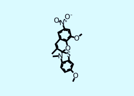 COc1ccc2c(c1)SC1(Oc3c(cc([N+](=O)[O-])cc3OC)C=C1C)N2C